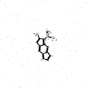 CC1=Cc2cc3c(cc2=C1[SiH](C)C)C=CC=3